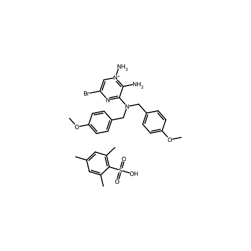 COc1ccc(CN(Cc2ccc(OC)cc2)c2nc(Br)c[n+](N)c2N)cc1.Cc1cc(C)c(S(=O)(=O)O)c(C)c1